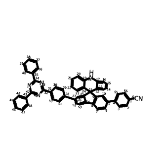 N#Cc1ccc(-c2ccc3c(c2)C2(c4ccccc4Nc4ccccc42)c2cc(-c4ccc(-c5nc(-c6ccccc6)nc(-c6ccccc6)n5)cc4)ccc2-3)cc1